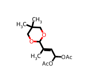 CC(=O)OC(C=C(C)C1OCC(C)(C)CO1)OC(C)=O